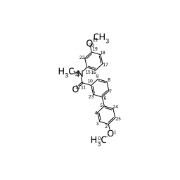 COc1ccc(-c2cccc(C(=O)N(C)c3cccc(OC)c3)c2)cc1